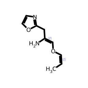 C/C=C\O/C=C(\N)Cc1ncco1